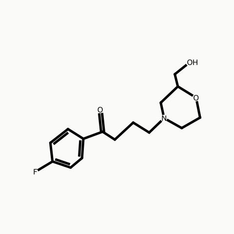 O=C(CCCN1CCOC(CO)C1)c1ccc(F)cc1